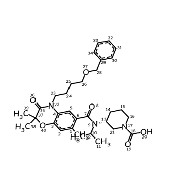 Cc1cc2c(cc1C(=O)N(C(C)C)[C@@H]1CCCN(C(=O)O)C1)N(CCCCOCc1ccccc1)C(=O)C(C)(C)O2